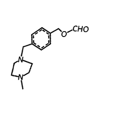 CN1CCN(Cc2ccc(COC=O)cc2)CC1